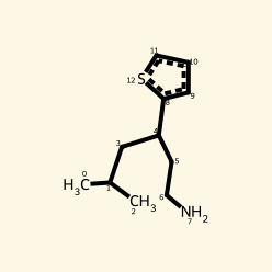 CC(C)CC(CCN)c1cccs1